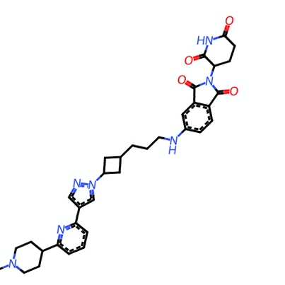 CN1CCC(c2cccc(-c3cnn(C4CC(CCCNc5ccc6c(c5)C(=O)N(C5CCC(=O)NC5=O)C6=O)C4)c3)n2)CC1